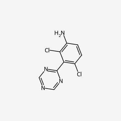 Nc1ccc(Cl)c(-c2ncncn2)c1Cl